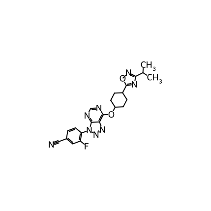 CC(C)c1noc(C2CCC(Oc3ncnc4c3nnn4-c3ccc(C#N)cc3F)CC2)n1